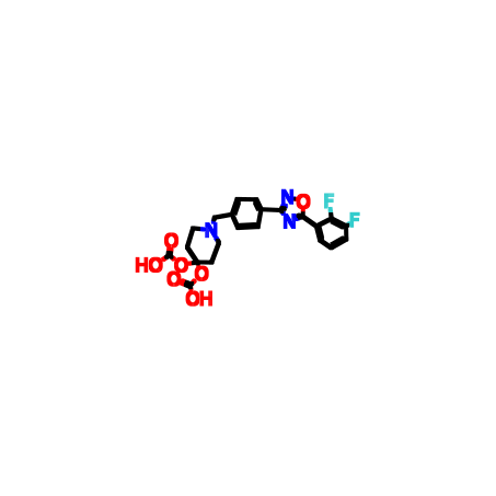 O=C(O)OC1(OC(=O)O)CCN(Cc2ccc(-c3noc(-c4cccc(F)c4F)n3)cc2)CC1